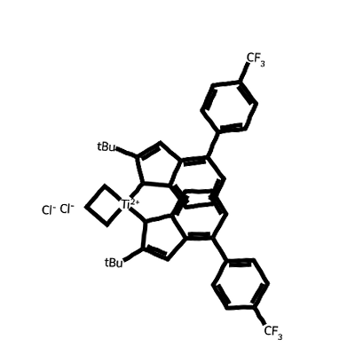 CC(C)(C)C1=Cc2c(-c3ccc(C(F)(F)F)cc3)cccc2[CH]1[Ti+2]1([CH]2C(C(C)(C)C)=Cc3c(-c4ccc(C(F)(F)F)cc4)cccc32)[CH2]C[CH2]1.[Cl-].[Cl-]